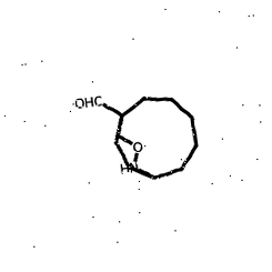 O=[C]C12CCCCCC(CC1)NOC2